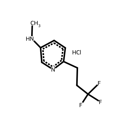 CNc1ccc(CCC(F)(F)F)nc1.Cl